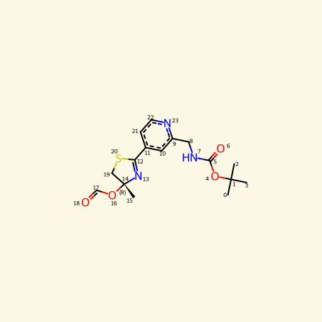 CC(C)(C)OC(=O)NCc1cc(C2=N[C@](C)(OC=O)CS2)ccn1